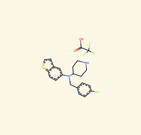 Fc1ccc(CN(c2ccc3sccc3c2)C2CCNCC2)cc1.O=C(O)C(F)(F)F